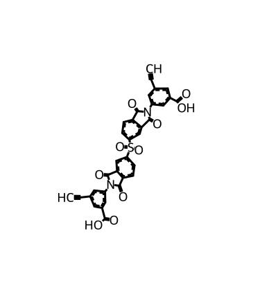 C#Cc1cc(C(=O)O)cc(N2C(=O)c3ccc(S(=O)(=O)c4ccc5c(c4)C(=O)N(c4cc(C#C)cc(C(=O)O)c4)C5=O)cc3C2=O)c1